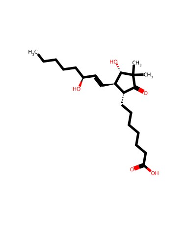 CCCCC[C@H](O)/C=C/[C@@H]1[C@@H](CCCCCCC(=O)O)C(=O)C(C)(C)[C@H]1O